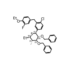 CCOc1ccc(Cc2cc([C@@H]3S[C@H](CC)[C@@H](C)[C@H](OCc4ccccc4)[C@H]3OCc3ccccc3)ccc2Cl)cc1F